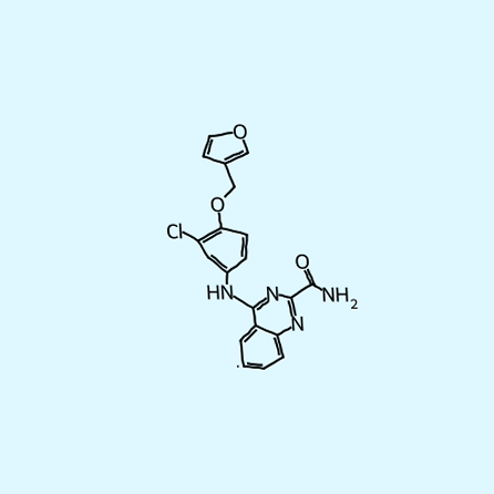 NC(=O)c1nc(Nc2ccc(OCc3ccoc3)c(Cl)c2)c2c[c]ccc2n1